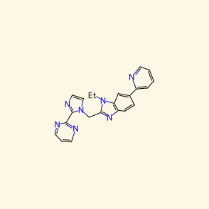 CCn1c(Cn2ccnc2-c2ncccn2)nc2ccc(-c3ccccn3)cc21